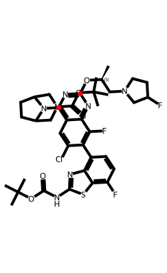 C[C@@H](CN1CCC(F)C1)Oc1nc(N2C3CCC2CN(C(=O)OC(C)(C)C)C3)c2cc(Cl)c(-c3ccc(F)c4sc(NC(=O)OC(C)(C)C)nc34)c(F)c2n1